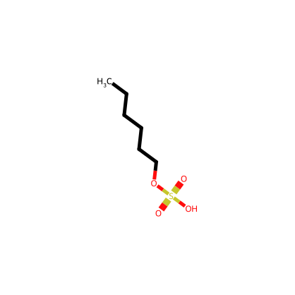 CCCCCCOS(=O)(=O)O